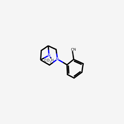 N#Cc1ccccc1N1CC2CC(C1)N2C(=O)O